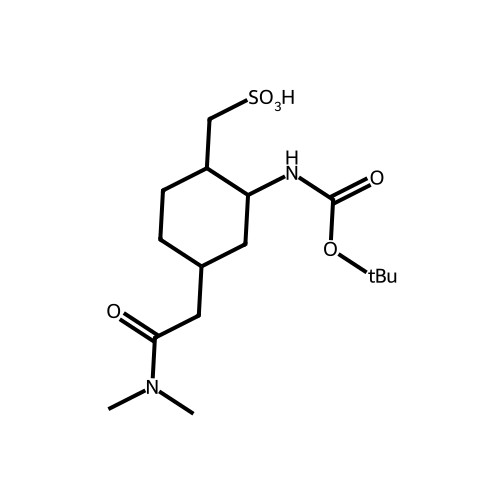 CN(C)C(=O)CC1CCC(CS(=O)(=O)O)C(NC(=O)OC(C)(C)C)C1